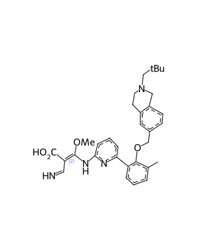 CO/C(Nc1cccc(-c2cccc(C)c2OCc2ccc3c(c2)CCN(CC(C)(C)C)C3)n1)=C(/C=N)C(=O)O